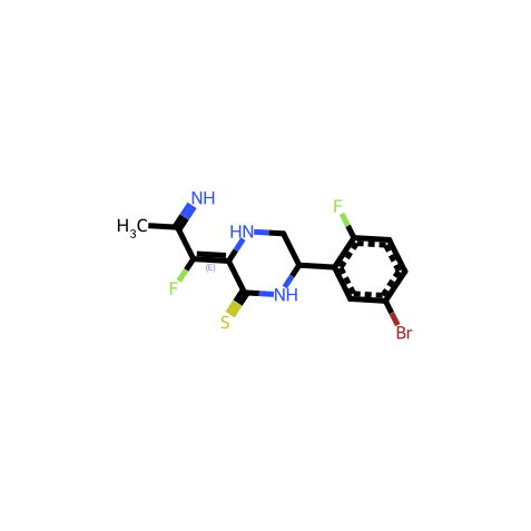 CC(=N)/C(F)=C1\NCC(c2cc(Br)ccc2F)NC1=S